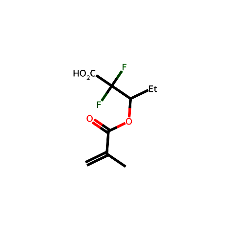 C=C(C)C(=O)OC(CC)C(F)(F)C(=O)O